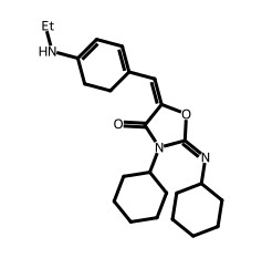 CCNC1=CC=C(/C=C2/O/C(=N/C3CCCCC3)N(C3CCCCC3)C2=O)CC1